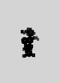 Cc1cc(C2=NOC(c3cc(Cl)cc(Cl)c3)(C(F)(F)F)/C2=C/c2ccccc2)ccc1C(=O)OC(C)(C)C